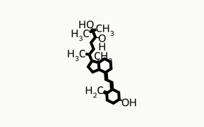 C=C1CC[C@H](O)C/C1=C/C=C1\CCC[C@@]2(C)C1CCC2C(C)CC[C@@H](O)C(C)(C)O